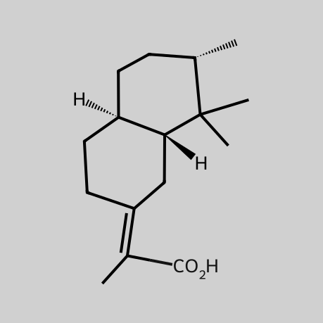 C/C(C(=O)O)=C1\CC[C@H]2CC[C@H](C)C(C)(C)[C@@H]2C1